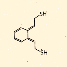 SCC=c1ccccc1=CCS